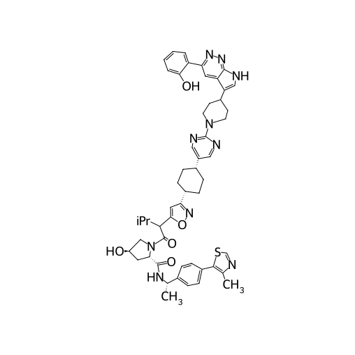 Cc1ncsc1-c1ccc([C@H](C)NC(=O)[C@@H]2C[C@@H](O)CN2C(=O)C(c2cc([C@H]3CC[C@@H](c4cnc(N5CCC(c6c[nH]c7nnc(-c8ccccc8O)cc67)CC5)nc4)CC3)no2)C(C)C)cc1